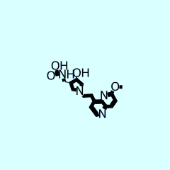 COc1ccc2nccc(CCN3C[C@H](CNC(=O)O)[C@H](O)C3)c2n1